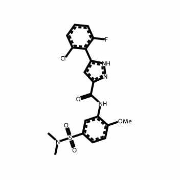 COc1ccc(S(=O)(=O)N(C)C)cc1NC(=O)c1cc(-c2c(F)cccc2Cl)[nH]n1